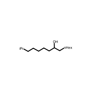 CCCCCCCC(O)CCCCCC(C)C